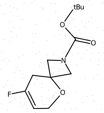 CC(C)(C)OC(=O)N1CC2(CC(F)=CCO2)C1